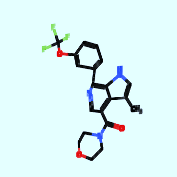 Cc1c[nH]c2c(-c3cccc(OC(F)(F)F)c3)ncc(C(=O)N3CCOCC3)c12